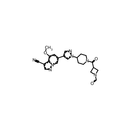 COc1cc(-c2cnn(C3CCN(C(=O)C4CN(C=O)C4)CC3)c2)cn2ncc(C#N)c12